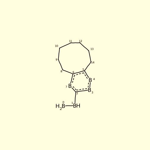 BBc1bbc2c(b1)CCCCCCC2